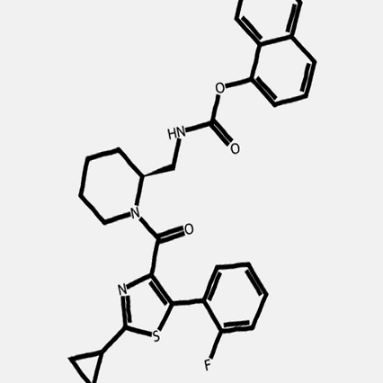 O=C(NC[C@@H]1CCCCN1C(=O)c1nc(C2CC2)sc1-c1ccccc1F)Oc1cccc2ccccc12